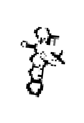 CCN(NC(C)C)C(=O)CC[C@H](Cc1ccccc1)NC(=O)OC(C)(C)C